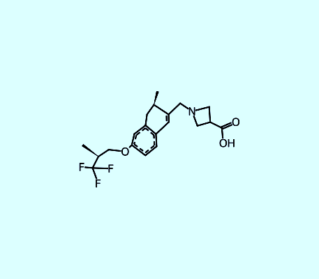 C[C@@H]1Cc2cc(OC[C@H](C)C(F)(F)F)ccc2C=C1CN1CC(C(=O)O)C1